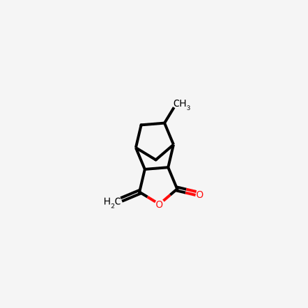 C=C1OC(=O)C2C3CC(CC3C)C12